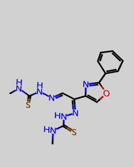 CNC(=S)N/N=C(\C=N\NC(=S)NC)c1coc(-c2ccccc2)n1